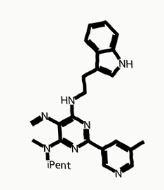 C=Nc1c(NCCc2c[nH]c3ccccc23)nc(-c2cncc(C)c2)nc1N(C)C(C)CCC